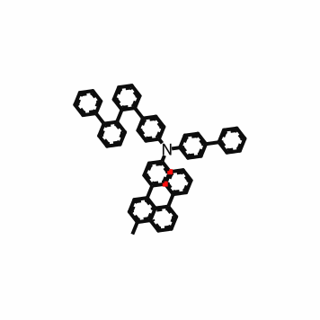 Cc1ccc(-c2ccc(N(c3ccc(-c4ccccc4)cc3)c3ccc(-c4ccccc4-c4ccccc4-c4ccccc4)cc3)cc2)c2c(-c3ccccc3)cccc12